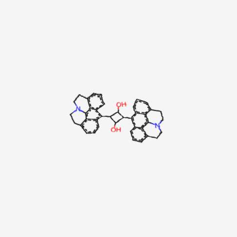 OC1C(c2c3cccc4c3c3c5c(cccc25)CCN3CC4)C(O)C1c1c2cccc3c2c2c4c(cccc14)CCN2CC3